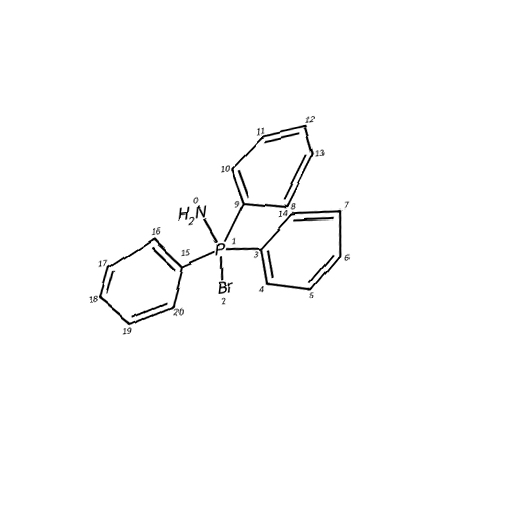 NP(Br)(c1ccccc1)(c1ccccc1)c1ccccc1